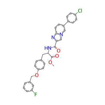 COC(=O)C(Cc1ccc(OCc2cccc(F)c2)cc1)NC(=O)c1cn2cc(-c3ccc(Cl)cc3)ccc2n1